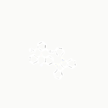 CC(C)(C)c1cccc(C(C)(C)C)c1B1c2ccccc2Sc2cc(-n3c4ccccc4c4c5ccccc5n(-c5ccccc5)c43)ccc21